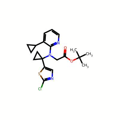 CC(C)(C)OC(=O)CN(c1ncccc1C1CC1)C1(c2cnc(Cl)s2)CC1